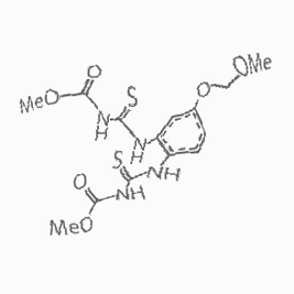 COCOc1ccc(NC(=S)NC(=O)OC)c(NC(=S)NC(=O)OC)c1